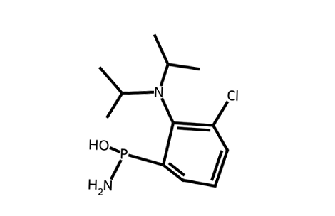 CC(C)N(c1c(Cl)cccc1P(N)O)C(C)C